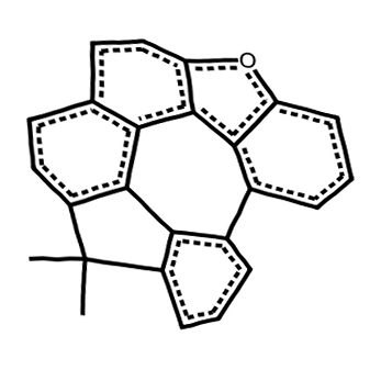 CC1(C)c2cccc3c2-c2c1ccc1ccc4oc5cccc-3c5c4c21